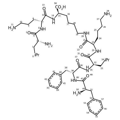 CC(C)C[C@@H](N)C(=O)N[C@H](CCCN)C(=O)N[C@H](CCCCNC(=O)[C@@H](CCCCN)NC(=O)[C@@H](CC(C)C)NC(=O)[C@@H](Cc1ccccc1)NC(=O)[C@H](N)Cc1ccccc1)C(=O)O